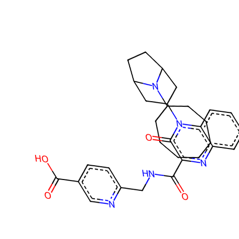 O=C(O)c1ccc(CNC(=O)c2nc3ccccc3n(C3CC4CCC(C3)N4C3CCCCCCC3)c2=O)nc1